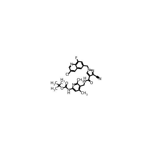 Cc1cc(NC(=O)OC(C)(C)C)nc(C)c1CNC(=O)c1cn(Cc2cc(F)c3ncc(Cl)cc3c2)nc1C#N